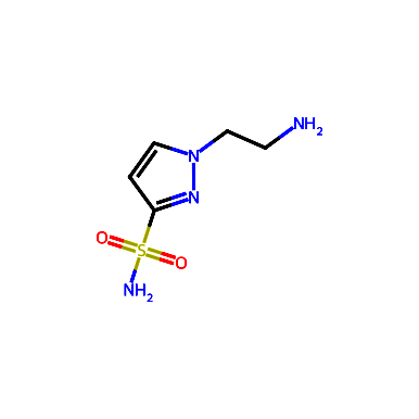 NCCn1ccc(S(N)(=O)=O)n1